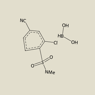 CNS(=O)(=O)c1ccc(C#N)cc1Cl.OBO